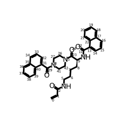 C=CC(=O)NCCCC[C@H](NC(=O)c1cccc2ccccc12)C(=O)N1CCN(C(=O)c2cccc3ccccc23)CC1